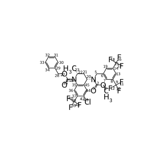 COC(=O)N(Cc1cc(C(F)(F)F)cc(C(F)(F)F)c1)[C@H]1C[C@@H](C)N(C(=O)OCc2ccccc2)c2cc(C(F)(F)F)c(Cl)cc21